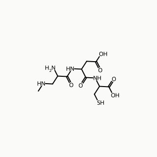 CNCC(N)C(=O)NC(CC(=O)O)C(=O)NC(CS)C(=O)O